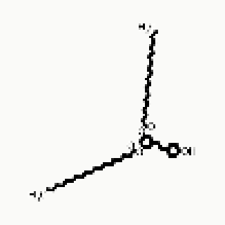 CCCCCC=CCC=CCC=CCC=CCCCC(=O)Oc1cc(C=Cc2ccc(O)cc2)cc(OC(=O)CCCC=CCC=CCC=CCC=CCCCCC)c1